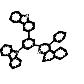 c1ccc(-c2cc(-c3cc(-c4ccc5oc6ccccc6c5c4)cc(-n4c5ccccc5c5ccccc54)c3)nc3ccc4ccccc4c23)cc1